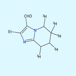 [2H]C1c2nc(CC)c(C=O)n2C([2H])C([2H])([2H])C1[2H]